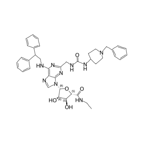 CCNC(=O)[C@H]1O[C@@H](n2cnc3c(NCC(c4ccccc4)c4ccccc4)nc(CNC(=O)NC4CCN(Cc5ccccc5)CC4)nc32)[C@H](O)[C@@H]1O